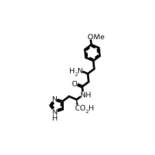 COc1ccc(CC(N)CC(=O)N[C@H](Cc2c[nH]cn2)C(=O)O)cc1